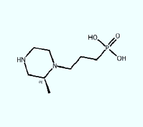 C[C@H]1CNCCN1CCCP(=O)(O)O